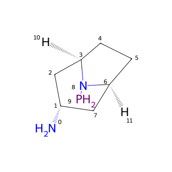 N[C@@H]1C[C@H]2CC[C@@H](C1)N2P